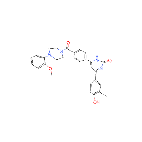 COc1ccccc1N1CCN(C(=O)c2ccc(-c3cc(-c4ccc(O)c(C)c4)nc(=O)[nH]3)cc2)CC1